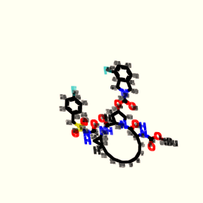 CC(C)(C)OC(=O)N[C@H]1CCCCCCC[C@@H]2C[C@@]2(C(=O)NS(=O)(=O)Cc2ccc(F)cc2)NC(=O)[C@@H]2C[C@@H](OC(=O)N3Cc4cccc(F)c4C3)CN2C1=O